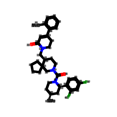 CN[C@@H]1CCN(C(=O)N2CC[C@H](CN3CCC(c4ccccc4OC)=CC3=O)C3(CCCC3)C2)[C@H](c2ccc(F)cc2F)C1